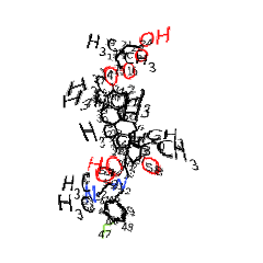 CC(C)C1=C2[C@H]3CC[C@@H]4[C@@]5(C)CC[C@H](OC(=O)CC(C)(C)CC(=O)O)C(C)(C)[C@@H]5CC[C@@]4(C)[C@]3(C)CC[C@@]2([C@@H](O)CN(Cc2ccc(F)cc2)C(=O)CN(C)C)CC1=O